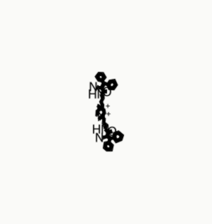 C[N+]1(CCCNC(=O)C(C#N)=C(c2ccccc2)c2ccccc2)CC[N+](C)(CCCNC(=O)C(C#N)=C(c2ccccc2)c2ccccc2)CC1